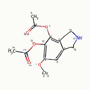 COc1cc2c(c(OC(C)=O)c1OC(C)=O)CNC2